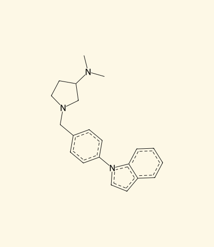 CN(C)C1CCN(Cc2ccc(-n3ccc4ccccc43)cc2)C1